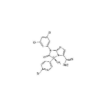 COC(=O)c1cnc2n1[C@](C)(c1ccc(Br)cc1)C(=O)N2c1cc(Cl)cc(Cl)c1